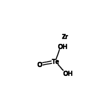 O=[Te](O)O.[Zr]